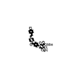 CCSC(C(=O)OC)C(=O)N(CCOC(C)C)c1ccc(C(=O)N2CCN(CCc3ccc(Cl)cc3)CC2)cc1